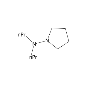 CCCN(CCC)N1CCCC1